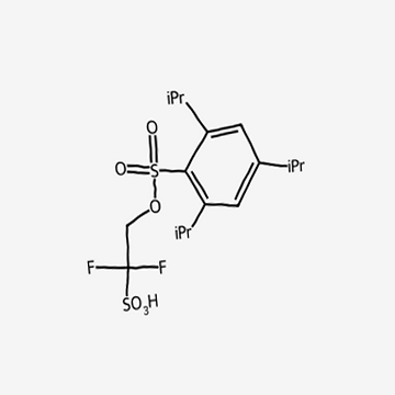 CC(C)c1cc(C(C)C)c(S(=O)(=O)OCC(F)(F)S(=O)(=O)O)c(C(C)C)c1